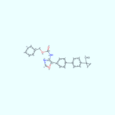 O=CC1(c2ccc(-c3ccc(-c4ocnc4NC(=O)OCc4ccccc4)cc3)cc2)CC1